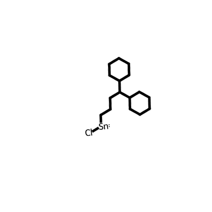 [Cl][Sn][CH2]CCC(C1CCCCC1)C1CCCCC1